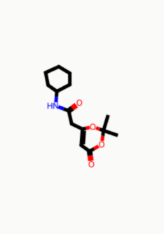 CC1(C)OC(=O)C=C(CC(=O)NC2CCCCC2)O1